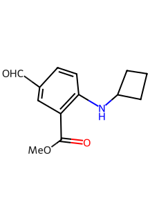 COC(=O)c1cc(C=O)ccc1NC1CCC1